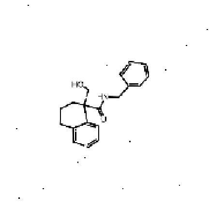 O=C(NCc1ccccc1)C1(CO)CCCc2ccccc21